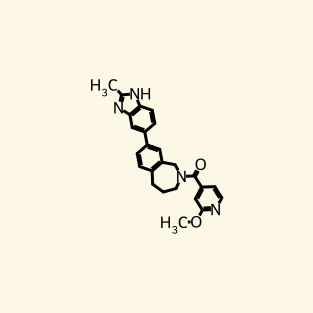 COc1cc(C(=O)N2CCCc3ccc(-c4ccc5[nH]c(C)nc5c4)cc3C2)ccn1